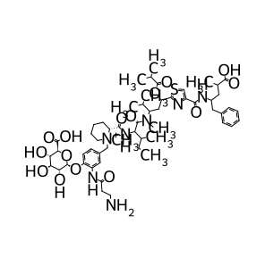 CCC(C)C(NC(=O)[C@H]1CCCC[N+]1(C)Cc1ccc(O[C@@H]2O[C@H](C(=O)O)[C@@H](O)[C@H](O)[C@H]2O)c(NC(=O)CCN)c1)C(=O)N(C)C(CC(OC(=O)C(C)C)c1nc(C(=O)NC(Cc2ccccc2)CC(C)C(=O)O)cs1)C(C)C